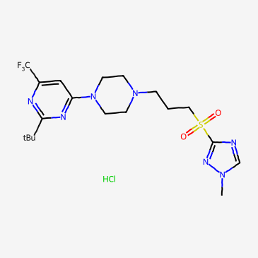 Cl.Cn1cnc(S(=O)(=O)CCCN2CCN(c3cc(C(F)(F)F)nc(C(C)(C)C)n3)CC2)n1